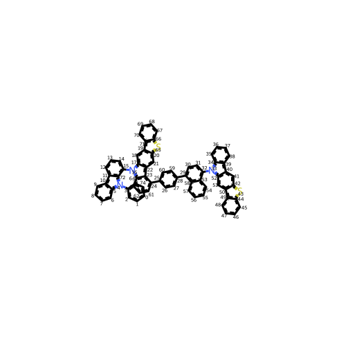 c1ccc(-n2c3ccccc3c3cccc(-n4c5cc6c(cc5c5c(-c7ccc(-c8ccc(-n9c%10ccccc%10c%10cc%11sc%12ccccc%12c%11cc%109)c9ccccc89)cc7)cccc54)sc4ccccc46)c32)cc1